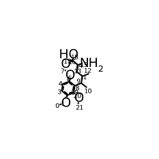 COc1ccc(OC)c(C(C)C(C)CC(N)C(=O)O)c1OC